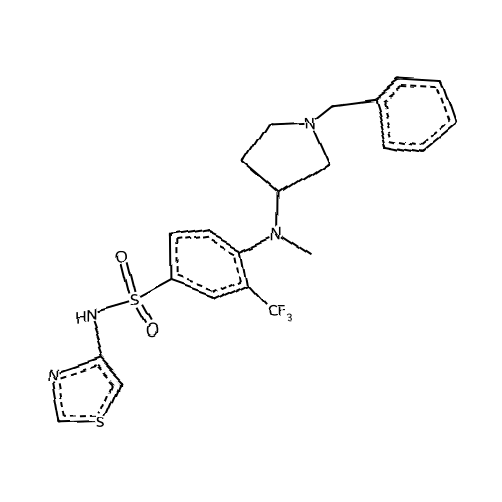 CN(c1ccc(S(=O)(=O)Nc2cscn2)cc1C(F)(F)F)C1CCN(Cc2ccccc2)C1